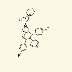 O[N+]1(CCn2cc3c(-c4ccc(F)cc4)c(-c4ccncc4)c(-c4ccc(F)cc4)nc3n2)CCCCC1